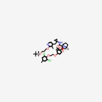 Cc1cc(Cl)c(OCCOc2ccc(C3=C(C(=O)NC4(Cc5ccnc(OCCCO[Si](C)(C)C(C)(C)C)c5C)CC4)C4CC[C@@H](C3)N4C(=O)OC(C)(C)C)cc2)c(Cl)c1